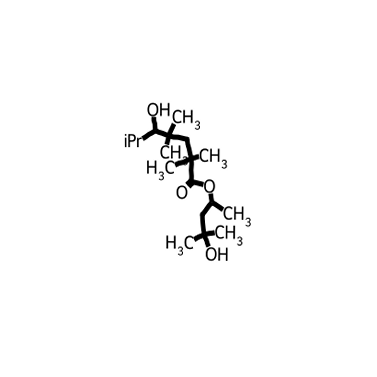 CC(CC(C)(C)O)OC(=O)C(C)(C)CC(C)(C)C(O)C(C)C